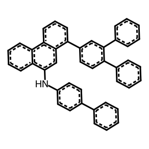 c1ccc(-c2ccc(Nc3cc4c(-c5ccc(-c6ccccc6)c(-c6ccccc6)c5)cccc4c4ccccc34)cc2)cc1